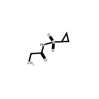 CCC(=O)NS(=O)(=O)C1CC1